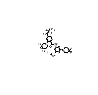 Cc1cc(NC(=O)c2ccc(NS(C)(=O)=O)cc2N2CC[C@@]3(C)C[C@H]3C2)nc(N2CCC(F)(F)CC2)n1